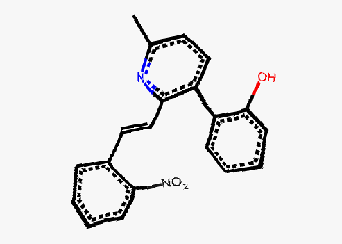 Cc1ccc(-c2ccccc2O)c(C=Cc2ccccc2[N+](=O)[O-])n1